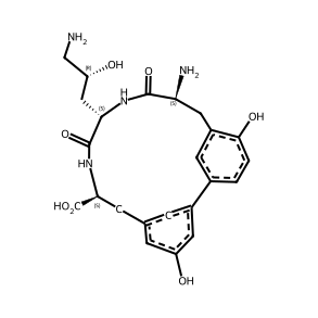 NC[C@H](O)C[C@@H]1NC(=O)[C@@H](N)Cc2cc(ccc2O)-c2cc(O)cc(c2)C[C@@H](C(=O)O)NC1=O